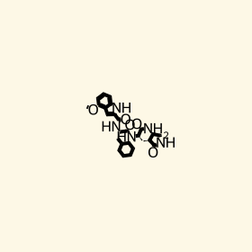 COc1cccc2[nH]c(C(=O)N[C@@H](CC3CCCCC3)C(=O)N[C@@H](C[C@@H]3CCNC3=O)C(N)=O)cc12